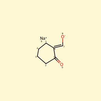 O=C1CCCC/C1=C\[O-].[Na+]